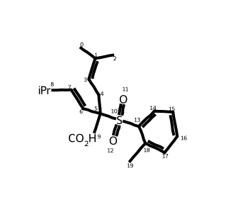 CC(C)=CCC(C=CC(C)C)(C(=O)O)S(=O)(=O)c1ccccc1C